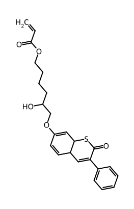 C=CC(=O)OCCCCC(O)COC1=CC2SC(=O)C(c3ccccc3)=CC2C=C1